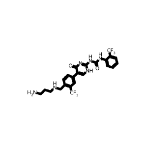 NCCCNCc1ccc(-c2c[nH]c(NC(=O)Nc3ccccc3C(F)(F)F)nc2=O)cc1C(F)(F)F